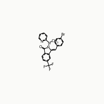 CN(c1ccccn1)N1C(=O)c2ccc(C(F)(F)F)cc2/C1=C/c1ccc(Br)cc1